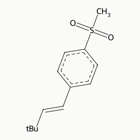 CC(C)(C)/C=C/c1ccc(S(C)(=O)=O)cc1